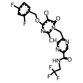 Cc1nc(OCc2ccc(F)cc2F)c(Cl)c(=O)n1Cc1cnc(C(=O)NCC(F)(F)F)cn1